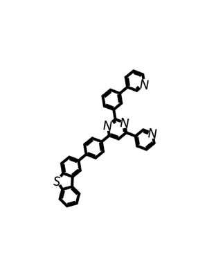 c1cncc(-c2cccc(-c3nc(-c4ccc(-c5ccc6sc7ccccc7c6c5)cc4)cc(-c4cccnc4)n3)c2)c1